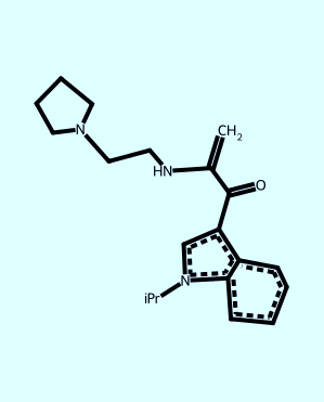 C=C(NCCN1CCCC1)C(=O)c1cn(C(C)C)c2ccccc12